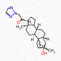 CC[C@]12CC[C@@](C)(O)C[C@H]1CC[C@H]1[C@@H]3CC[C@H](C(=O)Cn4nccn4)[C@@]3(C)CC[C@@H]12